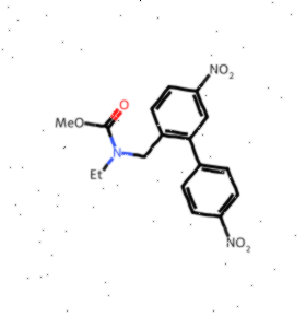 CCN(Cc1ccc([N+](=O)[O-])cc1-c1ccc([N+](=O)[O-])cc1)C(=O)OC